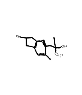 CCC1Cc2cc(C)c(C(C)(O)C(=O)O)cc2C1